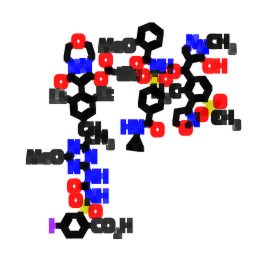 CCc1cc(C)cc(CC)c1-c1c(OC(=O)C(C)(C)C)n2n(c1=O)CCOCC2.COc1ccccc1C(=O)NS(=O)(=O)c1ccc(C(=O)NC2CC2)cc1.COc1nc(C)nc(NC(=O)NS(=O)(=O)c2cc(I)ccc2C(=O)O)n1.Cc1c(C(=O)c2cnn(C)c2O)ccc(S(C)(=O)=O)c1C1=NOCC1